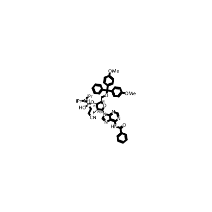 COc1ccc(C(OC[C@H]2O[C@@H](n3cnc4c(NC(=O)c5ccccc5)ncnc43)[C@H](F)[C@@H]2O[PH](O)(CCC#N)N(C(C)C)C(C)C)(c2ccccc2)c2ccc(OC)cc2)cc1